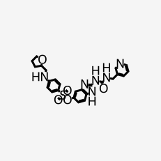 O=C(NCc1cccnc1)Nc1nc2cc(OS(=O)(=O)c3ccc(NCC4CCCO4)cc3)ccc2[nH]1